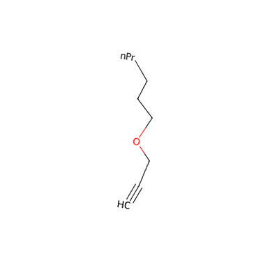 C#CCOCCCCC[CH2]